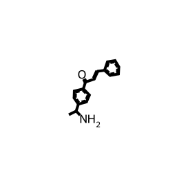 CC(N)c1ccc(C(=O)C=Cc2ccccc2)cc1